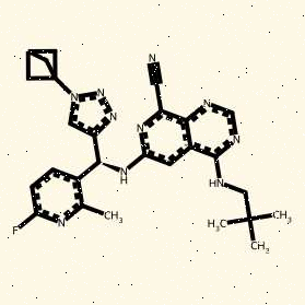 Cc1nc(F)ccc1[C@H](Nc1cc2c(NCC(C)(C)C)ncnc2c(C#N)n1)c1cn(C23CC(C2)C3)nn1